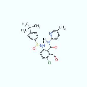 Cc1ccc(N(C)C(=O)c2c(N[S+]([O-])c3ccc(C(C)(C)C)cc3)ccc(Cl)c2C=O)nc1